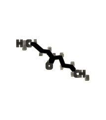 CCC[CH]C(=O)CCCC